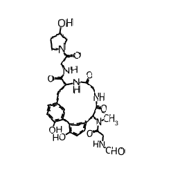 CN(C(=O)CNC=O)C1C(=O)NCC(=O)NC(C(=O)NCC(=O)N2CCC(O)C2)Cc2ccc(O)c(c2)-c2cc1ccc2O